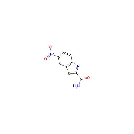 NC(=O)c1nc2ccc([N+](=O)[O-])cc2s1